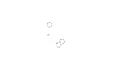 CC(=O)Oc1cc2ncnc(N3CCN(C(=O)OCc4ccccc4)[C@@H](CC#N)C3)c2c2c1CCCO2